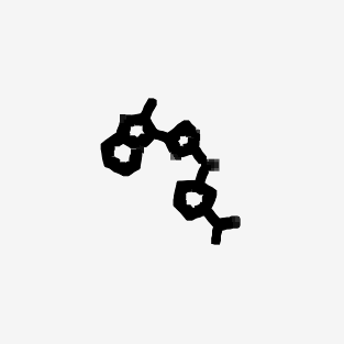 CC(=O)c1cccc(Nc2nc(-c3c(C)nc4ccccn34)cs2)c1